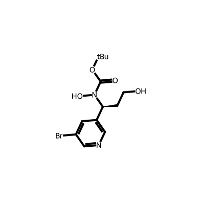 CC(C)(C)OC(=O)N(O)[C@@H](CCO)c1cncc(Br)c1